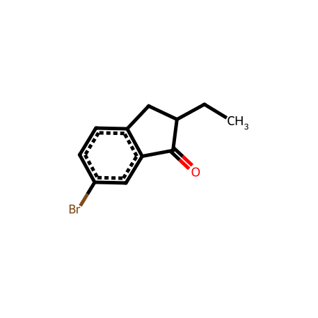 CCC1Cc2ccc(Br)cc2C1=O